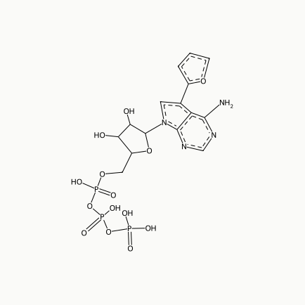 Nc1ncnc2c1c(-c1ccco1)cn2C1OC(COP(=O)(O)OP(=O)(O)OP(=O)(O)O)C(O)C1O